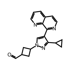 O=CC1CC(n2cc(-c3nccc4cccnc34)c(C3CC3)n2)C1